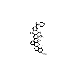 CN1C=C(c2cccc(-n3ncc4c(c3=O)[C@H](F)CC(C(C)(C)C)=C4)c2CO)C=C(N[C@@H]2CC=C(C(=O)N3CCOCC3)C=N2)[C@H]1O